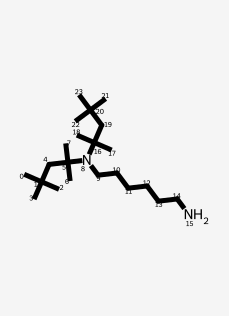 CC(C)(C)CC(C)(C)N(CCCCCCN)C(C)(C)CC(C)(C)C